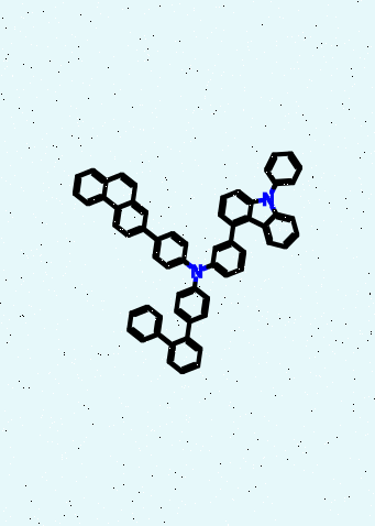 c1ccc(-c2ccccc2-c2ccc(N(c3ccc(-c4ccc5c(ccc6ccccc65)c4)cc3)c3cccc(-c4cccc5c4c4ccccc4n5-c4ccccc4)c3)cc2)cc1